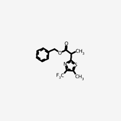 Cc1sc(C(C)C(=O)OCc2ccccc2)nc1C(F)(F)F